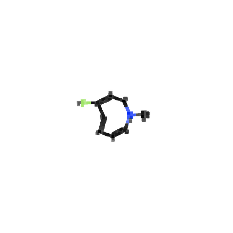 CCN1\C=C/C=C/C(F)=C\C1